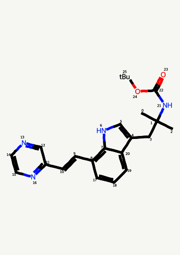 CC(C)(Cc1c[nH]c2c(C=Cc3cnccn3)cccc12)NC(=O)OC(C)(C)C